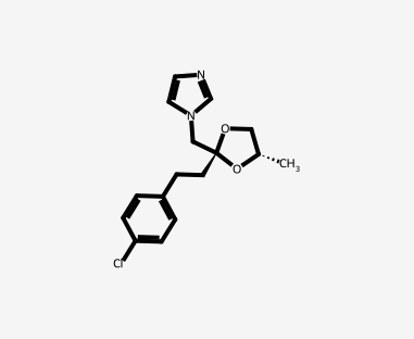 C[C@H]1CO[C@@](CCc2ccc(Cl)cc2)(Cn2ccnc2)O1